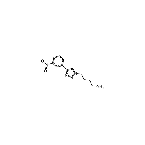 NCCCCn1cc(-c2cccc([N+](=O)[O-])c2)nn1